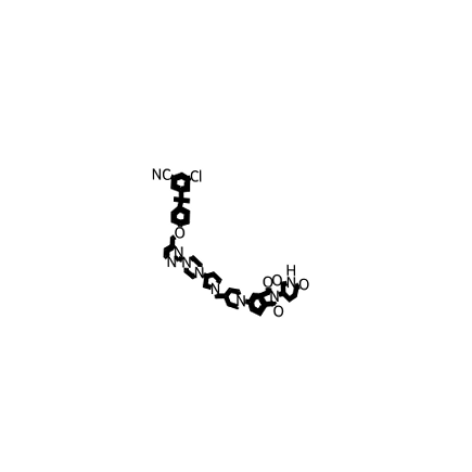 CC(C)(c1ccc(OCc2ccnc(N3CCN(C4CCN(CC5CCN(c6ccc7c(c6)C(=O)N(C6CCC(=O)NC6=O)C7=O)CC5)C4)CC3)n2)cc1)c1cc(Cl)cc(C#N)c1